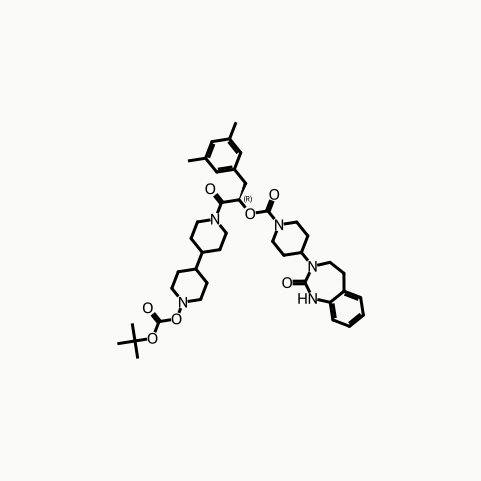 Cc1cc(C)cc(C[C@@H](OC(=O)N2CCC(N3CCc4ccccc4NC3=O)CC2)C(=O)N2CCC(C3CCN(OC(=O)OC(C)(C)C)CC3)CC2)c1